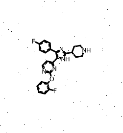 Fc1ccc(-c2nc(C3CCNCC3)[nH]c2-c2ccnc(Oc3ccccc3F)n2)cc1